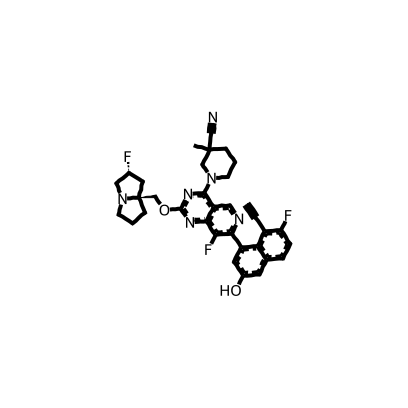 C#Cc1c(F)ccc2cc(O)cc(-c3ncc4c(N5CCCC(C)(C#N)C5)nc(OC[C@@]56CCCN5C[C@H](F)C6)nc4c3F)c12